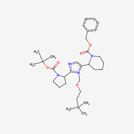 CC(C)(C)OC(=O)N1CCCC1c1ncc(C2CCCCN2C(=O)OCc2ccccc2)n1COCC[Si](C)(C)C